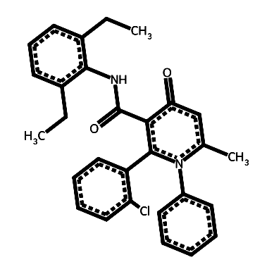 CCc1cccc(CC)c1NC(=O)c1c(-c2ccccc2Cl)n(-c2ccccc2)c(C)cc1=O